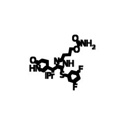 CC(C)C(c1ccc(=O)[nH]c1)c1nc(CCCOC(N)=O)[nH]c1Sc1cc(F)cc(F)c1